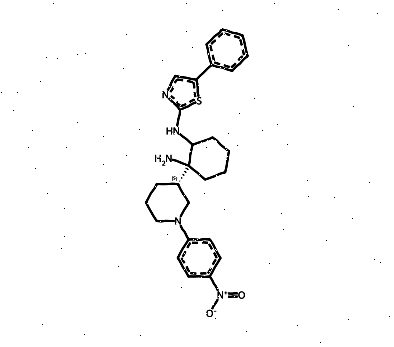 NC1([C@H]2CCCN(c3ccc([N+](=O)[O-])cc3)C2)CCCCC1Nc1ncc(-c2ccccc2)s1